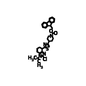 CC(C)n1c(Cl)nc2c1C=CCC2c1nc(C2CCN(C(=O)OCC3c4ccccc4-c4ccccc43)CC2)cs1